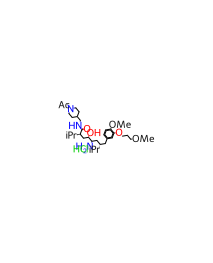 COCCCOc1cc(C[C@@H](C[C@H](N)[C@@H](O)C[C@H](C(=O)NCC2CCN(C(C)=O)CC2)C(C)C)C(C)C)ccc1OC.Cl